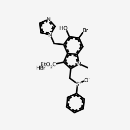 Br.CCOC(=O)c1c(C[S+]([O-])c2ccccc2)n(C)c2cc(Br)c(O)c(Cn3ccnc3)c12